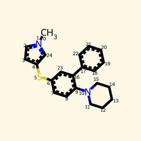 Cn1ccc(Sc2ccc(N3CCCCC3)c(-c3ccccc3)c2)c1